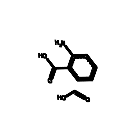 Nc1ccccc1C(=O)O.O=CO